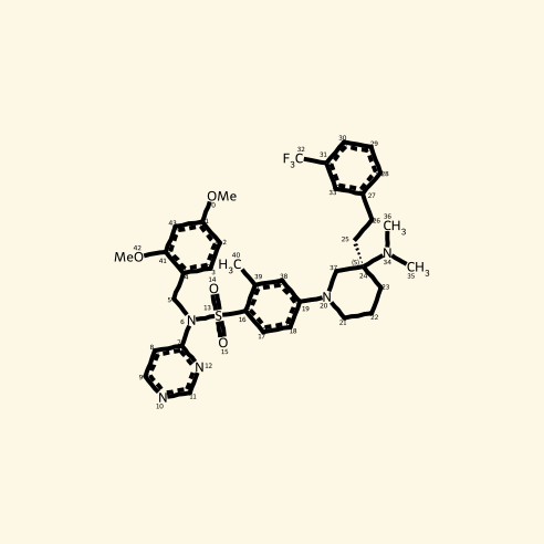 COc1ccc(CN(c2ccncn2)S(=O)(=O)c2ccc(N3CCC[C@](CCc4cccc(C(F)(F)F)c4)(N(C)C)C3)cc2C)c(OC)c1